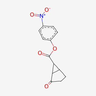 O=C1CCC2C1C2C(=O)Oc1ccc([N+](=O)[O-])cc1